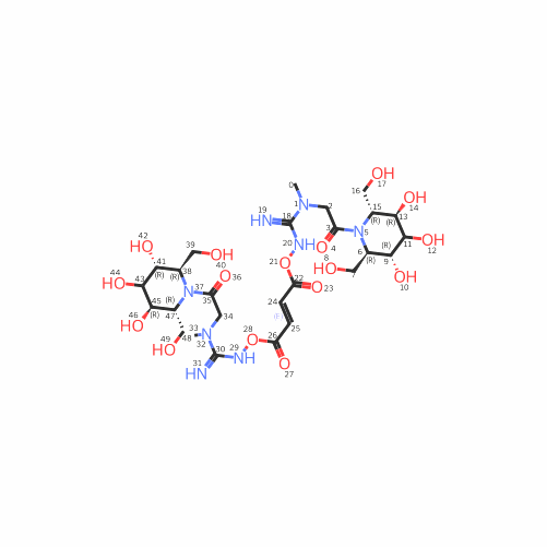 CN(CC(=O)N1[C@H](CO)[C@@H](O)C(O)[C@H](O)[C@H]1CO)C(=N)NOC(=O)/C=C/C(=O)ONC(=N)N(C)CC(=O)N1[C@H](CO)[C@@H](O)C(O)[C@H](O)[C@H]1CO